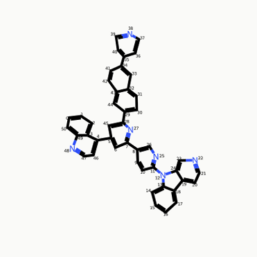 c1ccc2c(-c3cc(-c4ccc(-n5c6ccccc6c6ccncc65)nc4)nc(-c4ccc5cc(-c6ccncc6)ccc5c4)c3)ccnc2c1